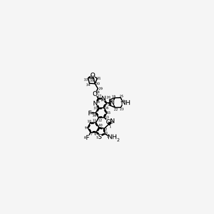 N#Cc1c(N)sc2c(F)ccc(-c3c(Cl)cc4c(N5C6CCC5CNC6)nc(OCC56COC(C5)C6)nc4c3F)c12